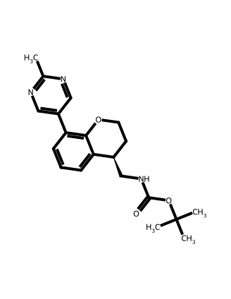 Cc1ncc(-c2cccc3c2OCC[C@H]3CNC(=O)OC(C)(C)C)cn1